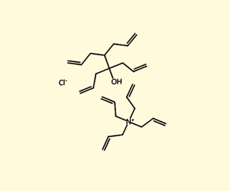 C=CCC(CC=C)C(O)(CC=C)CC=C.C=CC[N+](CC=C)(CC=C)CC=C.[Cl-]